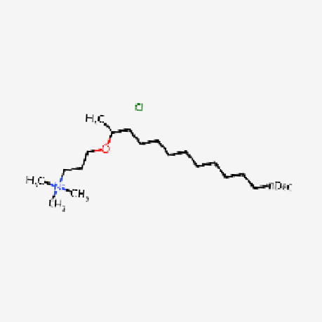 CCCCCCCCCCCCCCCCCCCC[C@H](C)OCCC[N+](C)(C)C.[Cl-]